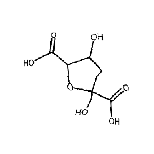 O=C(O)C1OC(O)(C(=O)O)CC1O